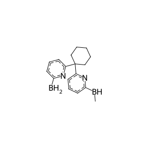 Bc1cccc(C2(c3cccc(BC)n3)CCCCC2)n1